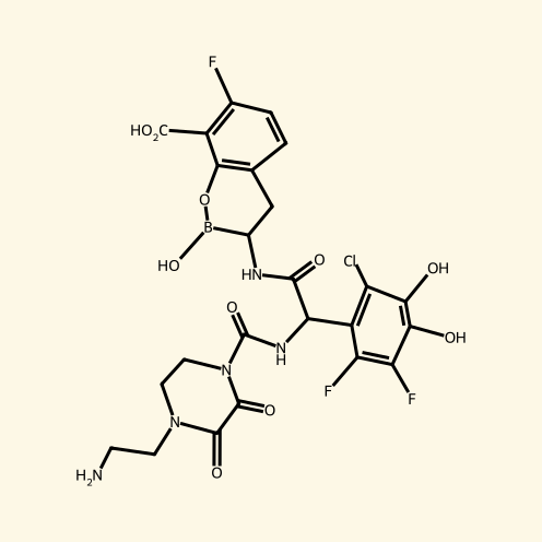 NCCN1CCN(C(=O)NC(C(=O)NC2Cc3ccc(F)c(C(=O)O)c3OB2O)c2c(F)c(F)c(O)c(O)c2Cl)C(=O)C1=O